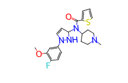 COc1cc(N2C=CC(N(C(=O)c3cccs3)C3CCN(C)CC3)N2)ccc1F